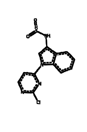 O=[SH](=O)Nc1cn(-c2ccnc(Cl)n2)c2ccccc12